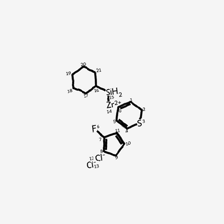 C1=CCSC=C1.FC1=CCC=C1.[Cl-].[Cl-].[Zr+2][SiH2]C1CCCCC1